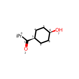 CC(C)C(=O)[C@H]1CC[C@@H](O)CC1